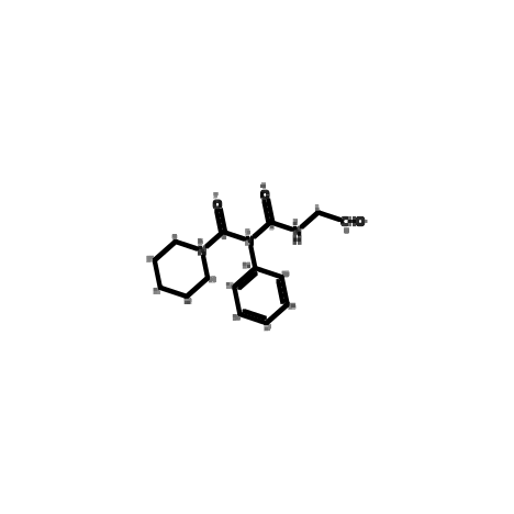 O=[C]CNC(=O)N(C(=O)N1CCCCC1)c1ccccc1